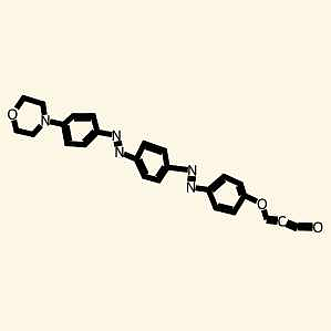 O=C=C=COc1ccc(/N=N/c2ccc(/N=N/c3ccc(N4CCOCC4)cc3)cc2)cc1